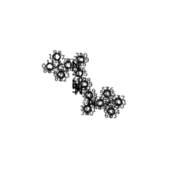 c1ccc(C(=C(c2ccccc2)c2ccc(N(c3ccccc3)c3ccc(-c4ccc(-c5ccc(N(c6ccccc6)c6ccc(C(=C(c7ccccc7)c7ccccc7)c7ccccc7)cc6)cc5)c5nsnc45)cc3)cc2)c2ccccc2)cc1